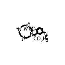 COc1ccc(N=C=S)cc1C(C(=O)O)N1CCN(C)CCN(C)CCN(C)CC1